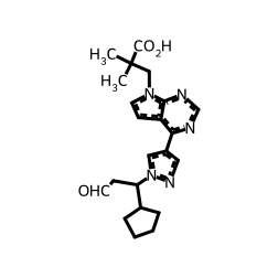 CC(C)(Cn1ccc2c(-c3cnn(C(CC=O)C4CCCC4)c3)ncnc21)C(=O)O